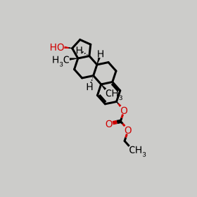 CCOC(=O)O[C@H]1C=C[C@@]2(C)C(=C1)CC[C@H]1[C@@H]3CC[C@H](O)[C@@]3(C)CC[C@@H]12